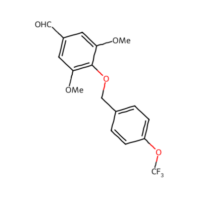 COc1cc(C=O)cc(OC)c1OCc1ccc(OC(F)(F)F)cc1